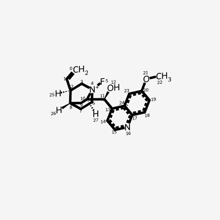 C=C[C@H]1C[N+]2(F)CC[C@H]1C[C@@H]2[C@@H](O)c1ccnc2ccc(OC)cc12